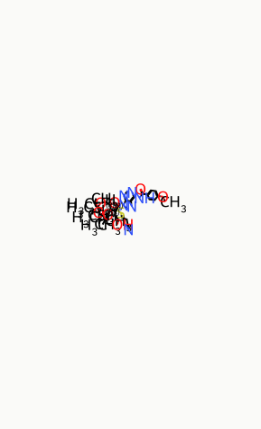 COc1ccc(C(=O)Nc2ncnc3c2ncn3[C@@H]2O[C@@H]3CO[Si](C(C)C)(C(C)C)O[Si](C(C)C)(C(C)C)O[C@H]3[C@@]2(CCO)SCCC#N)cc1